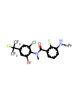 CCCNc1cccc(C(=O)N(C)c2c(Cl)cc(C(F)(C(F)(F)F)C(F)(F)F)cc2Br)c1F